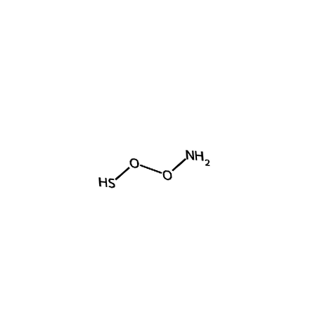 NOOS